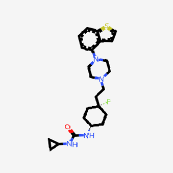 O=C(NC1CC1)N[C@H]1CC[C@](F)(CCN2CCN(c3cccc4sccc34)CC2)CC1